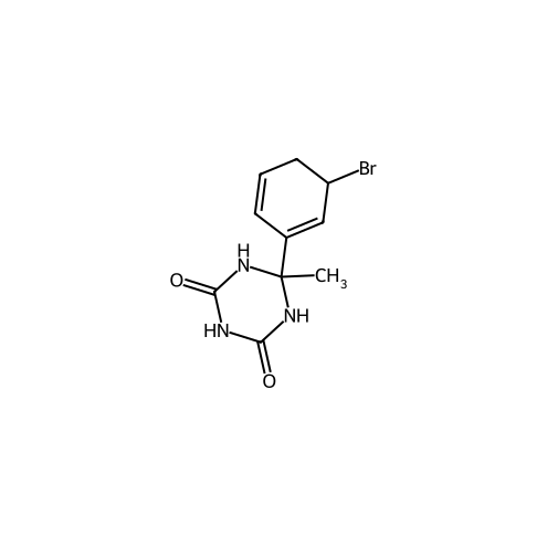 CC1(C2=CC(Br)CC=C2)NC(=O)NC(=O)N1